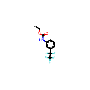 [CH2]COC(=O)Nc1cccc(C(F)(F)C(F)(F)F)c1